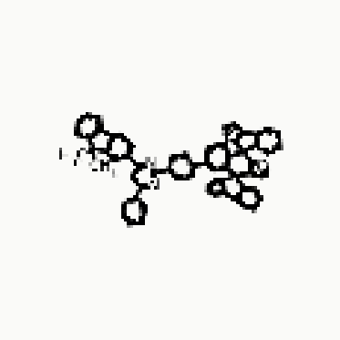 CC1(C)c2ccccc2-c2ccc(-c3cc(-c4ccccc4)nc(-c4ccc(-c5ccc6c(c5)C5(c7ccccc7-c7ccccc75)c5ccccc5C65c6ccccc6-c6ccccc65)cc4)n3)cc21